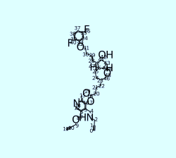 C#CCNCc1c(COCC#C)cnc(C)c1OC(=O)CCC[C@H]1CC[C@@H]2[C@@H](/C=C/CCOc3cc(F)ccc3F)[C@H](O)C[C@@H]2OC1